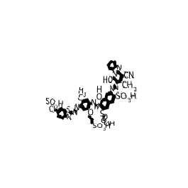 Cc1cc(N=Nc2c(SOOO)cc3cc(S(=O)(=O)O)c(N=Nc4c(C)c(C#N)c5nc6ccccc6n5c4O)cc3c2O)c(OCCCS(=O)(=O)O)cc1N=Nc1nc2ccc(Cl)c(S(=O)(=O)O)c2s1